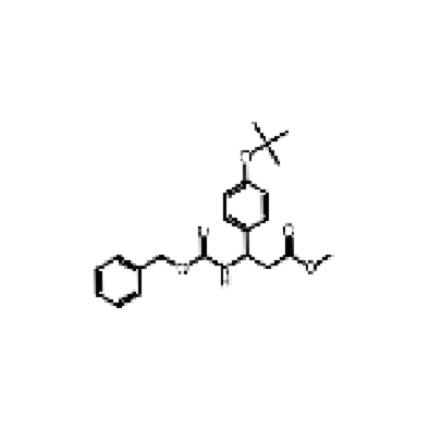 COC(=O)CC(NC(=O)OCc1ccccc1)c1ccc(OC(C)(C)C)cc1